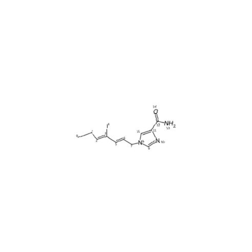 CC/C=C(C)/C=C/Cn1cnc(C(N)=O)c1